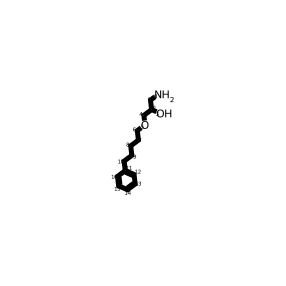 NCC(O)COCCCCCc1ccccc1